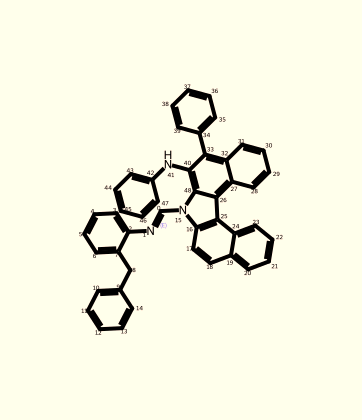 C(=N\c1ccccc1Cc1ccccc1)/n1c2ccc3ccccc3c2c2c3ccccc3c(-c3ccccc3)c(Nc3ccccc3)c21